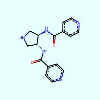 O=C(N[C@@H]1CNC[C@H]1NC(=O)c1ccncc1)c1ccncc1